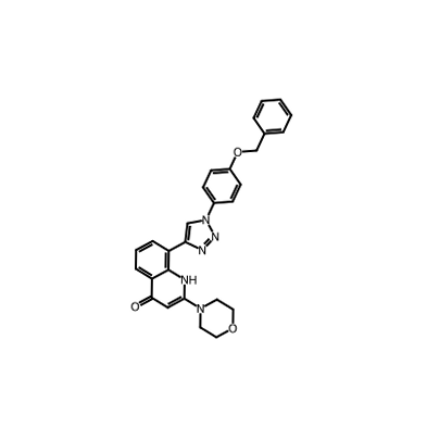 O=c1cc(N2CCOCC2)[nH]c2c(-c3cn(-c4ccc(OCc5ccccc5)cc4)nn3)cccc12